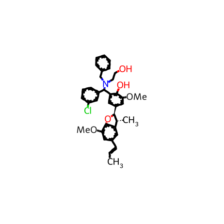 CC=Cc1cc(OC)c2c(c1)[C@@H](C)[C@H](c1cc(OC)c(O)c(C(c3cccc(Cl)c3)N(CCO)Cc3ccccc3)c1)O2